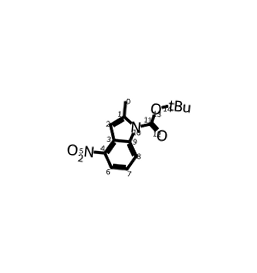 Cc1cc2c([N+](=O)[O-])cccc2n1C(=O)OC(C)(C)C